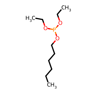 CCCCCCOP(OCC)OCC